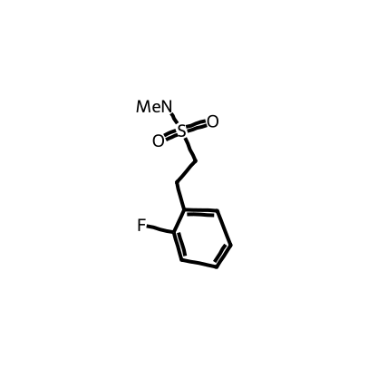 CNS(=O)(=O)CCc1ccccc1F